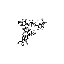 C=CC(=O)N1C[C@H](C)N(c2nc(=O)[nH]c3nc(-c4c(OCC(F)(F)CCc5ccnc(C(C)C)c5C)ccc(F)c4F)c(F)cc23)C[C@H]1C